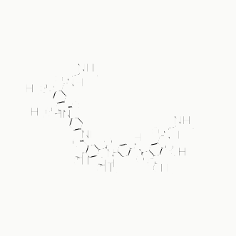 COc1cc(OC)c(C(=O)Nc2ccc(NC(=O)c3cc(C(=O)Nc4ccc(NC(=O)c5cc(C(=O)NCCN)c(OC)cc5OC)cc4)c(OC)cc3OC)cc2)cc1C(=O)NCCN